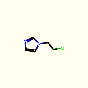 ClCCn1[c]ncc1